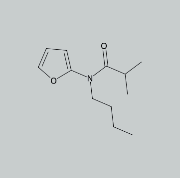 CCCCN(C(=O)C(C)C)c1ccco1